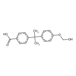 CC(C)(c1ccc(OCO)cc1)c1ccc(C(=O)O)cc1